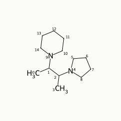 CC(C(C)N1CCCC1)N1CCCCC1